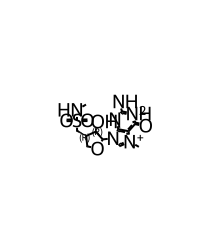 CNS(=O)(=O)C[C@@H]1COC(n2c[n+](C)c3c(=O)[nH]c(N)nc32)[C@@H]1O